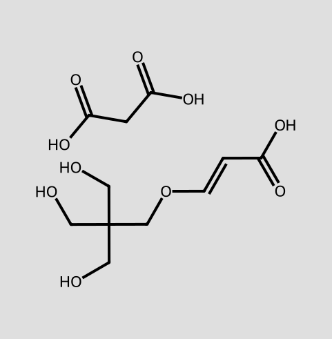 O=C(O)C=COCC(CO)(CO)CO.O=C(O)CC(=O)O